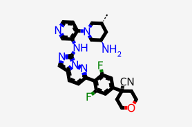 C[C@@H]1C[C@H](N)CN(c2ccncc2Nc2ncc3ccc(-c4c(F)cc(C5(C#N)CCOCC5)cc4F)nn23)C1